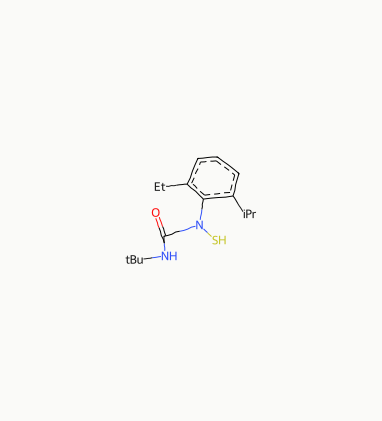 CCc1cccc(C(C)C)c1N(S)C(=O)NC(C)(C)C